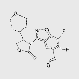 O=Cc1cc2c(N3C(=O)OCC3C3CCOCC3)noc2c(F)c1F